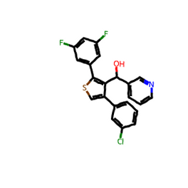 OC(c1cccnc1)c1c(-c2cccc(Cl)c2)csc1-c1cc(F)cc(F)c1